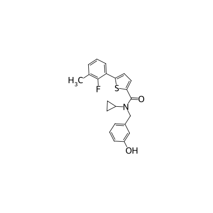 Cc1cccc(-c2ccc(C(=O)N(Cc3cccc(O)c3)C3CC3)s2)c1F